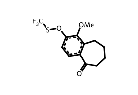 COc1c(OSC(F)(F)F)ccc2c1CCCCC2=O